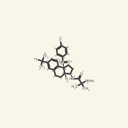 CC(=O)NC(C)(C)C(=O)N[C@@H]1CC[C@@]2(S(=O)(=O)c3ccc(F)cc3)c3ccc(C(F)(C(F)(F)F)C(F)(F)F)cc3CC[C@@H]12